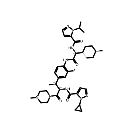 CC(C)n1nccc1C(=O)N[C@H](C(=O)Nc1ccc([C@H](C)[C@@H](NC(=O)c2ccnn2C2CC2)C(=O)N2CCN(C)CC2)cc1F)[C@H]1CC[C@H](C)CC1